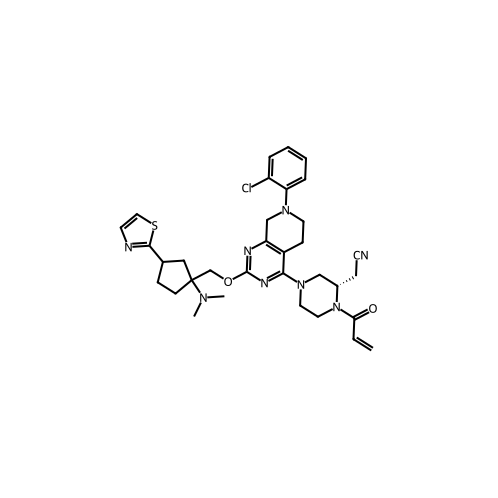 C=CC(=O)N1CCN(c2nc(OCC3(N(C)C)CCC(c4nccs4)C3)nc3c2CCN(c2ccccc2Cl)C3)C[C@@H]1CC#N